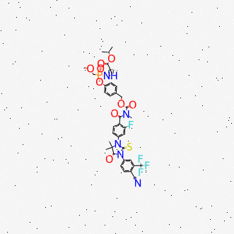 COCP(=O)(N[C@@H](C)C(=O)OC(C)C)Oc1ccc(COC(=O)N(C)C(=O)c2ccc(N3C(=S)N(c4ccc(C#N)c(C(F)(F)F)c4)C(=O)C3(C)C)cc2F)cc1